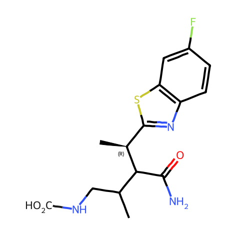 CC(CNC(=O)O)C(C(N)=O)[C@@H](C)c1nc2ccc(F)cc2s1